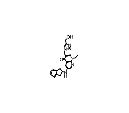 CCn1cc(Cn2cc(CO)nn2)c(=O)c2cc(NC3Cc4ccccc4C3)cnc21